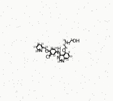 CN(CCO)CCOc1cccc2ncnc(Nc3ccc(OCc4ccccn4)c(Cl)c3)c12